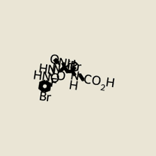 CC(C)[C@]1(CC(=O)NCCC(=O)O)NC(=O)N(NC(=O)Nc2ccc(Br)cc2F)C1=O